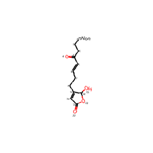 CCCCCCCCCCCC(=O)C=CCCC1=CC(=O)OC1O